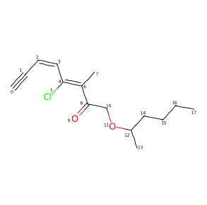 C#C/C=C\C(Cl)=C(/C)C(=O)COC(C)CCCC